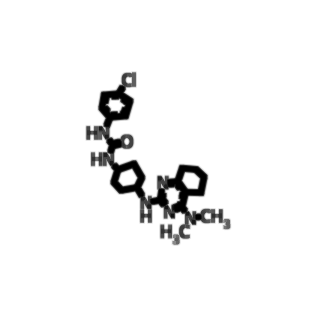 CN(C)c1nc(NC2CCC(NC(=O)Nc3ccc(Cl)cc3)CC2)nc2c1CCCC2